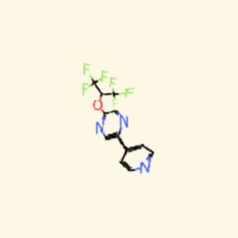 FC(F)(F)C(Oc1cnc(-c2ccncc2)cn1)C(F)(F)F